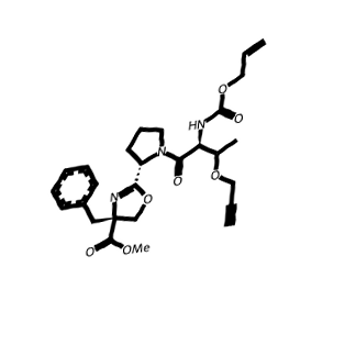 C#CCOC(C)[C@H](NC(=O)OCC=C)C(=O)N1CCC[C@H]1C1=N[C@@](Cc2ccccc2)(C(=O)OC)CO1